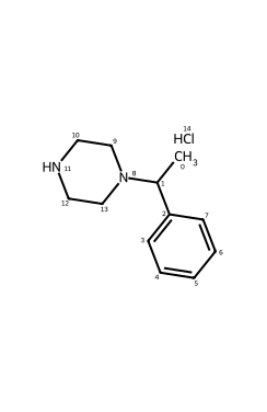 CC(c1ccccc1)N1CCNCC1.Cl